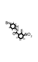 O=C(Nc1ccc(Br)cc1)c1cccc([N+](=O)[O-])c1F